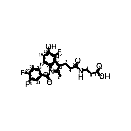 Cc1c(CCC(=O)NCCC(=O)O)c2c(F)c(O)ccc2n1C(=O)c1ccc(F)c(F)c1